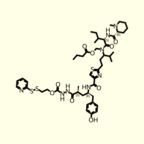 CCCC(=O)OCN(C(=O)[C@@H](NC(=O)[C@H]1CCCCN1C)C(C)CC)C(CCc1nc(C(=O)N[C@@H](Cc2ccc(O)cc2)C[C@H](C)C(=O)NNC(=O)OCCSSc2ccccn2)cs1)C(C)C